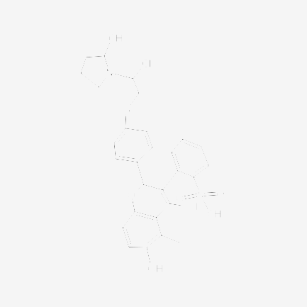 CC1=C(c2ccccc2S(C)(=O)=O)C(c2ccc(OCC(C)N3CCCC3C)cc2)Oc2ccc(O)c(F)c21